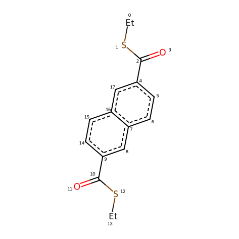 CCSC(=O)c1ccc2cc(C(=O)SCC)ccc2c1